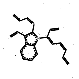 C=C/C=C\C=C(/C=C)n1c(/N=C\C=C)c(C=C)c2ccccc21